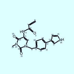 C=CC(=O)Nc1cn(Cc2ccc(-c3cc[nH]c3)cc2)c(=O)n(C)c1=O